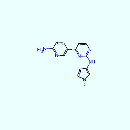 Cn1cc(Nc2nccc(-c3ccc(N)nc3)n2)cn1